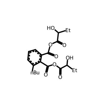 CCCCc1cccc(C(=O)OC(=O)C(O)CC)c1C(=O)OC(=O)C(O)CC